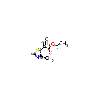 CCOC(=O)C(CC)c1scnc1C